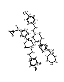 CN(c1nsc(N2CCN(CCc3ccc(F)c(F)c3)CC2)n1)C1CC1.Clc1ccc(CCN2CCN(c3nc(NC4CCCCC4)ns3)CC2)cc1